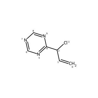 C=CC(Cl)c1ncncn1